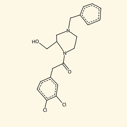 O=C(Cc1ccc(Cl)c(Cl)c1)N1CCN(Cc2ccccc2)CC1CO